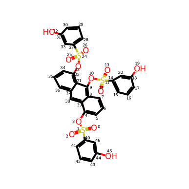 O=S(=O)(Oc1cccc2c(OS(=O)(=O)c3cccc(O)c3)c3c(OS(=O)(=O)c4cccc(O)c4)cccc3cc12)c1cccc(O)c1